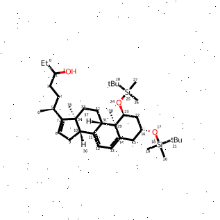 CCC(O)CC[C@H](C)C1=CC[C@H]2C3=CC=C4C[C@@H](O[Si](C)(C)C(C)(C)C)C[C@H](O[Si](C)(C)C(C)(C)C)[C@]4(C)[C@H]3CC[C@]12C